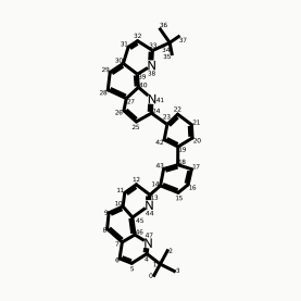 CC(C)(C)c1ccc2ccc3ccc(-c4cccc(-c5cccc(-c6ccc7ccc8ccc(C(C)(C)C)nc8c7n6)c5)c4)nc3c2n1